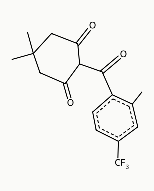 Cc1cc(C(F)(F)F)ccc1C(=O)C1C(=O)CC(C)(C)CC1=O